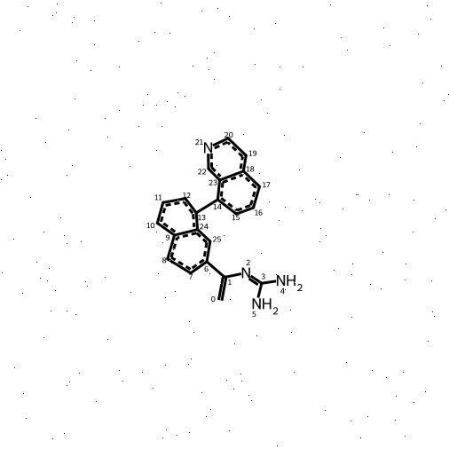 C=C(N=C(N)N)c1ccc2cccc(-c3cccc4ccncc34)c2c1